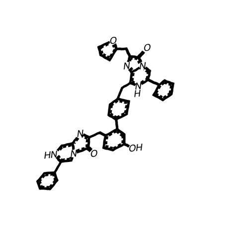 O=c1c(Cc2ccc(O)cc2-c2ccc(Cc3[nH]c(-c4ccccc4)cn4c(=O)c(Cc5ccco5)nc3-4)cc2)nc2c[nH]c(-c3ccccc3)cn1-2